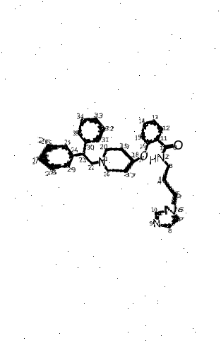 O=C(NCCCn1ccnc1)c1ccccc1OC1CCN(CC(c2ccccc2)c2ccccc2)CC1